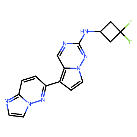 FC1(F)CC(Nc2ncc3c(-c4ccc5nccn5n4)ccn3n2)C1